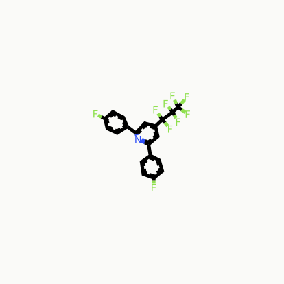 Fc1ccc(-c2cc(C(F)(F)C(F)(F)C(F)(F)F)cc(-c3ccc(F)cc3)n2)cc1